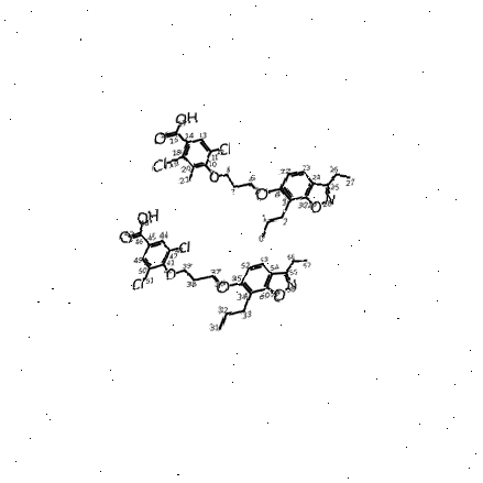 CCCc1c(OCCCOc2c(Cl)cc(C(=O)O)c(Cl)c2C)ccc2c(CC)noc12.CCCc1c(OCCCOc2c(Cl)cc(C(=O)O)cc2Cl)ccc2c(CC)noc12